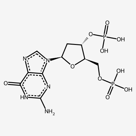 Nc1nc2c(ncn2[C@H]2C[C@H](OP(=O)(O)O)[C@@H](COP(=O)(O)O)O2)c(=O)[nH]1